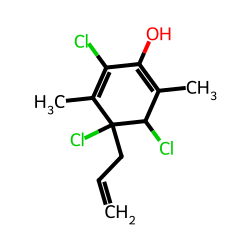 C=CCC1(Cl)C(C)=C(Cl)C(O)=C(C)C1Cl